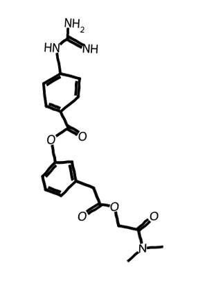 CN(C)C(=O)COC(=O)Cc1cccc(OC(=O)c2ccc(NC(=N)N)cc2)c1